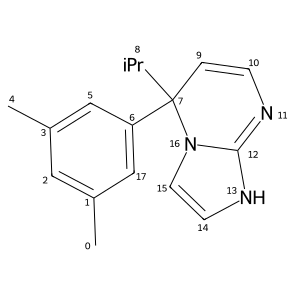 Cc1cc(C)cc(C2(C(C)C)C=CN=C3NC=CN32)c1